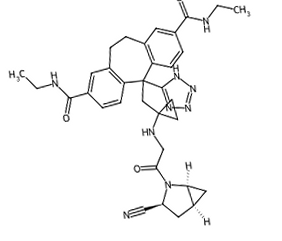 CCNC(=O)c1ccc2c(c1)CCc1cc(C(=O)NCC)ccc1C2(CC1(NCC(=O)N2[C@H](C#N)C[C@@H]3C[C@@H]32)CC1)c1nnn[nH]1